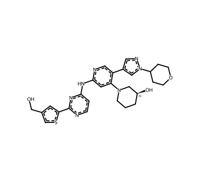 OCc1csc(-c2nccc(Nc3cc(N4CCC[C@H](O)C4)c(-c4cnn(C5CCOCC5)c4)cn3)n2)c1